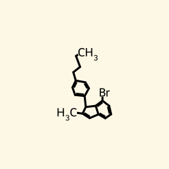 CCCCc1ccc(C2C(C)=Cc3cccc(Br)c32)cc1